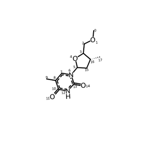 COCC1OC(n2cc(C)c(=O)[nH]c2=O)C[C@H]1C